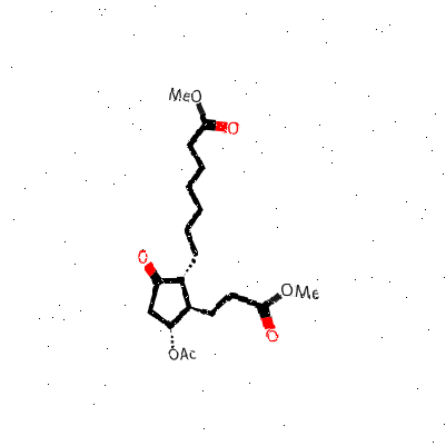 COC(=O)CCCCCC[C@H]1C(=O)C[C@@H](OC(C)=O)[C@@H]1CCC(=O)OC